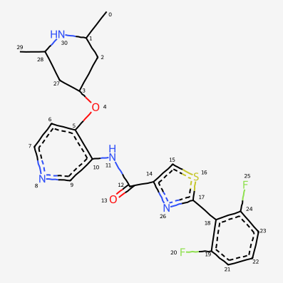 CC1CC(Oc2ccncc2NC(=O)c2csc(-c3c(F)cccc3F)n2)CC(C)N1